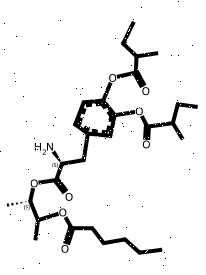 CCCCCC(=O)OC(C)[C@H](C)OC(=O)[C@@H](N)Cc1ccc(OC(=O)C(C)CC)c(OC(=O)C(C)CC)c1